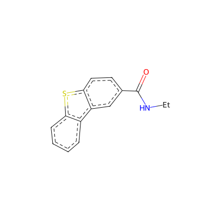 CCNC(=O)c1ccc2sc3ccccc3c2c1